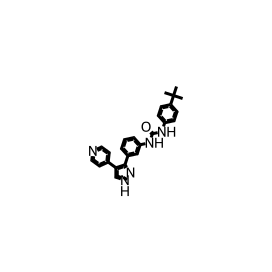 CC(C)(C)c1ccc(NC(=O)Nc2cccc(-c3n[nH]cc3-c3ccncc3)c2)cc1